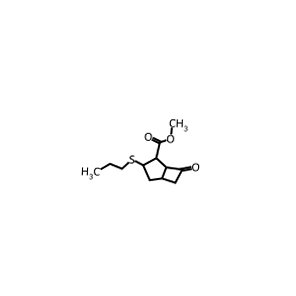 CCCSC1CC2CC(=O)C2C1C(=O)OC